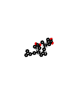 c1ccc(-c2nc(-c3ccc(-c4cc5c(-c6nc(-c7ccc(-c8ccc9c%10ccccc%10c%10ccccc%10c9c8)cc7)nc(-c7cccc8c7Oc7ccccc7C87c8ccccc8-c8ccccc87)n6)cccc5c5cccnc45)cc3)nc(-c3cccc4c3Oc3ccccc3C43c4ccccc4-c4ccccc43)n2)cc1